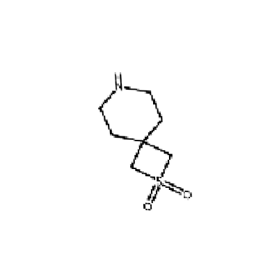 O=S1(=O)CC2(CCNCC2)C1